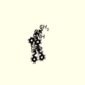 CSCC[C@H](NC(=O)c1ccc(CNN(C(=O)CCc2ccccc2)C(=O)CCc2ccccc2)cc1-c1ccccc1C)C(=O)O